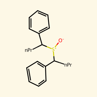 CCCC(c1ccccc1)[S+]([O-])C(CCC)c1ccccc1